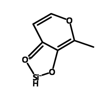 CC1=C2O[SiH-][O+]=C2C=CO1